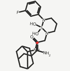 NC(=O)C12CC3CC(C1)C(NC(=O)CN1CCCN(c4cccc(F)c4)S1(O)O)C(C3)C2